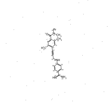 Cc1cc(C(=O)N(C)C(C)C)c(C)cc1C#CCNc1ccc(C(=N)N)cc1